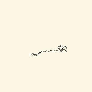 C=C1CCC(=O)N1OC(=O)CCCCCCCCC#CCCCCCCCCCC